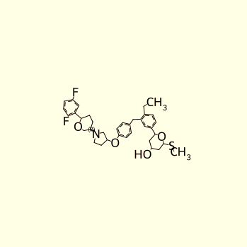 CCc1ccc(C2CC(O)CC(SC)O2)cc1Cc1ccc(OC2CCN([C@@H]3CCC(c4cc(F)ccc4F)OC3)C2)cc1